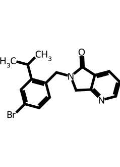 CC(C)c1cc(Br)ccc1CN1Cc2ncccc2C1=O